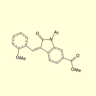 COC(=O)c1ccc2c(c1)N(C(C)=O)C(=O)C2=Cc1ccccc1OC